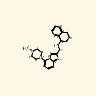 CN1CCN(c2cccc3nc(CNC4CCCc5cccnc54)cn23)CC1